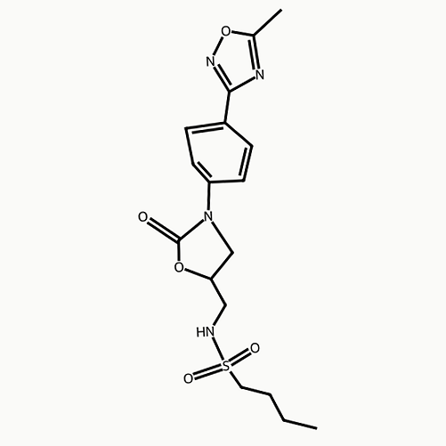 CCCCS(=O)(=O)NCC1CN(c2ccc(-c3noc(C)n3)cc2)C(=O)O1